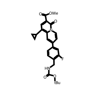 COC(=O)c1cc(C2CC2)c2cc(-c3ccc(CNC(=O)OC(C)(C)C)c(F)c3)ccn2c1=O